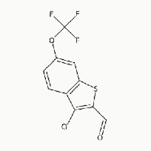 O=Cc1sc2cc(OC(F)(F)F)ccc2c1Cl